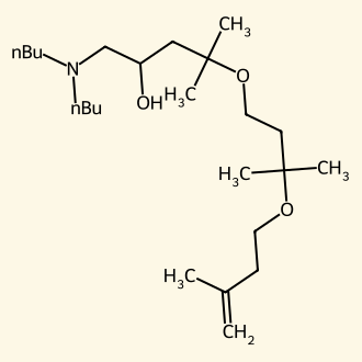 C=C(C)CCOC(C)(C)CCOC(C)(C)CC(O)CN(CCCC)CCCC